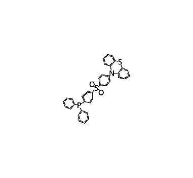 O=S(=O)(C1=C=C=C(P(c2ccccc2)c2ccccc2)C=C1)c1ccc(N2c3ccccc3Sc3ccccc32)cc1